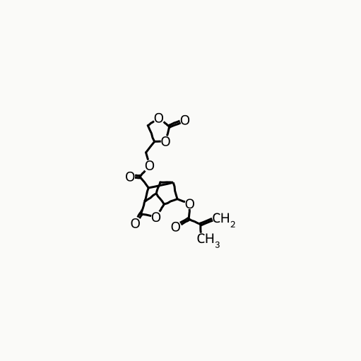 C=C(C)C(=O)OC1C2CC3C1OC(=O)C3C2C(=O)OCC1COC(=O)O1